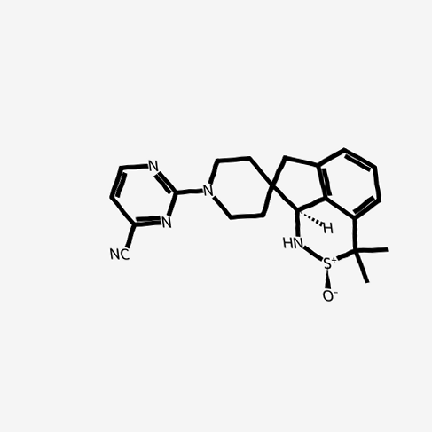 CC1(C)c2cccc3c2[C@@H](N[S@+]1[O-])C1(CCN(c2nccc(C#N)n2)CC1)C3